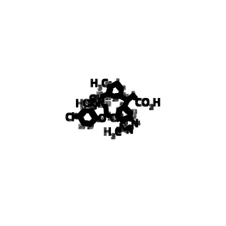 Cc1ccc(C(CC(=O)O)c2ccc3c(c2)nnn3C)cc1CN1CC(C)Oc2ccc(Cl)cc2S1(O)O